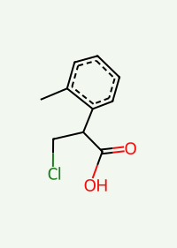 Cc1ccccc1C(CCl)C(=O)O